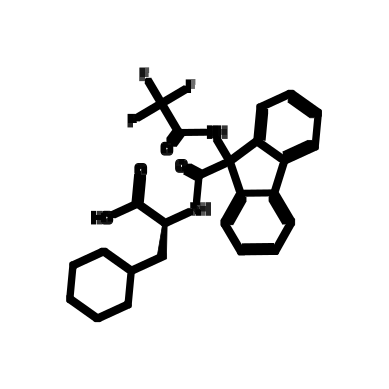 O=C(O)[C@H](CC1CCCCC1)NC(=O)C1(NC(=O)C(F)(F)F)c2ccccc2-c2ccccc21